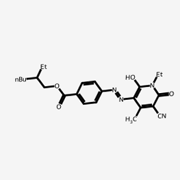 CCCCC(CC)COC(=O)c1ccc(/N=N/c2c(C)c(C#N)c(=O)n(CC)c2O)cc1